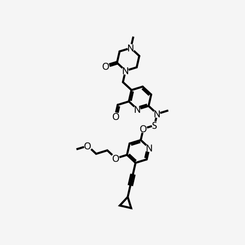 COCCOc1cc(OSN(C)c2ccc(CN3CCN(C)CC3=O)c(C=O)n2)ncc1C#CC1CC1